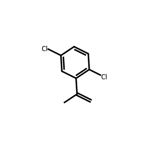 C=C(C)c1cc(Cl)ccc1Cl